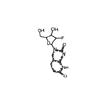 O=c1ccc2cn(C3OC(CO)C(O)C3F)c(=O)nc2[nH]1